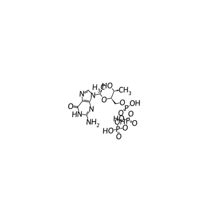 C[C@H](O)[C@@H](COP(=O)(O)OP(=O)(O)OP(=O)(O)O)O[C@H](C)n1cnc2c(=O)[nH]c(N)nc21